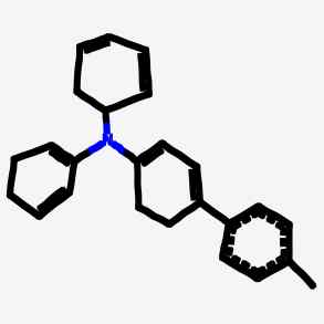 Cc1ccc(C2=CC=C(N(C3=CCCC=C3)C3C=CC=CC3)CC2)cc1